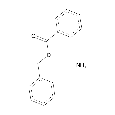 N.O=C(OCc1ccccc1)c1ccccc1